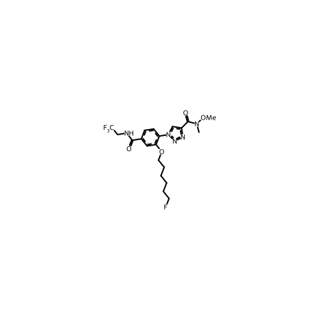 CON(C)C(=O)c1cn(-c2ccc(C(=O)NCC(F)(F)F)cc2OCCCCCCF)nn1